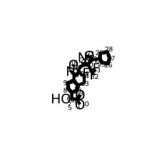 COC(=O)[C@@](C)(O)c1ccc2c(c1)CCc1c-2noc1-c1noc(-c2ccccc2)c1C(F)(F)F